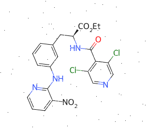 CCOC(=O)[C@H](Cc1cccc(Nc2ncccc2[N+](=O)[O-])c1)NC(=O)c1c(Cl)cncc1Cl